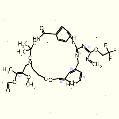 C=N/C(=N\C1=N/CC(/C=C\C)=C/C(Cl)=C/OCCCN(C/C(OC)=C(\C)OC=O)CC(C)(C)CNC(=O)c2ccc(cc2)N1)OCC(F)(F)F